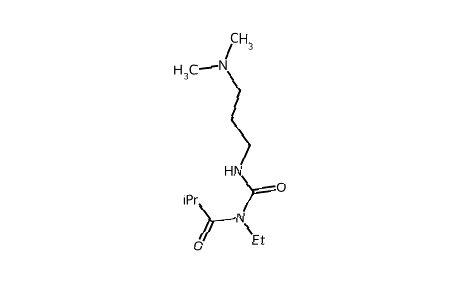 CCN(C(=O)NCCCN(C)C)C(=O)C(C)C